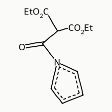 CCOC(=O)C(C(=O)OCC)C(=O)n1cccc1